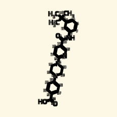 CC(C)(C)c1cccc(NC(=O)c2ccc(N3CCN(c4ccc(C(=O)O)cc4)CC3)nc2)c1